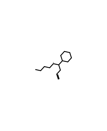 C=CCC([CH]CCCC)C1CCCCC1